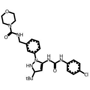 CC(C)(C)C1C=C(NC(=O)Nc2ccc(Cl)cc2)N(c2cccc(CNC(=O)N3CCOCC3)c2)N1